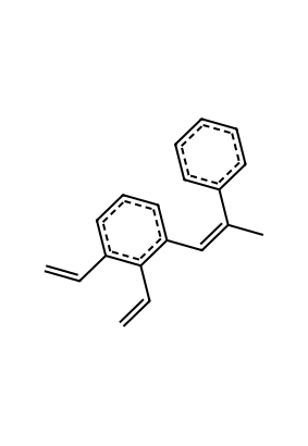 C=Cc1cccc(C=C(C)c2ccccc2)c1C=C